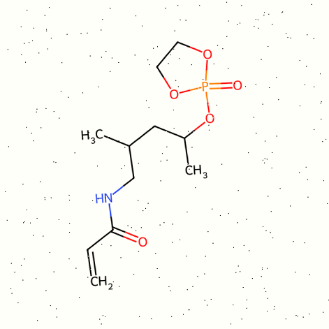 C=CC(=O)NCC(C)CC(C)OP1(=O)OCCO1